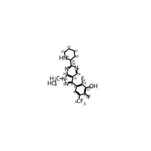 Cl.Cn1nc(-c2cc(C(F)(F)F)c(F)c(O)c2F)c2cnc(C3CCCCN3)nc21